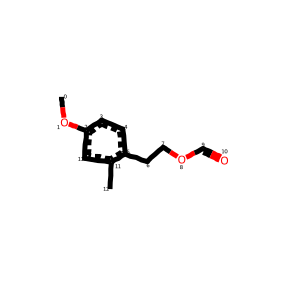 COc1ccc(CCOC=O)c(C)c1